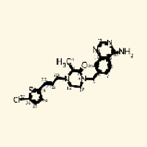 CC1C(=O)N(Cc2ccc3c(N)ncnc3c2)CCN1C/C=C/c1ccc(Cl)s1